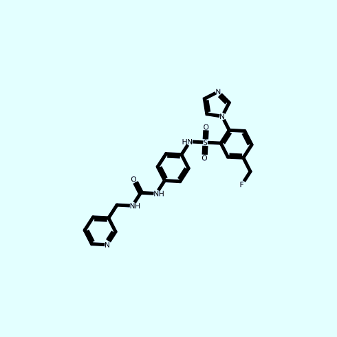 O=C(NCc1cccnc1)Nc1ccc(NS(=O)(=O)c2cc(CF)ccc2-n2ccnc2)cc1